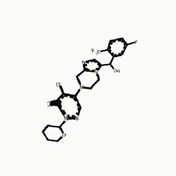 O=c1c(Cl)c(N2CCn3c(C(O)c4cc(F)ccc4C(F)(F)F)cnc3C2)cnn1C1CCCCO1